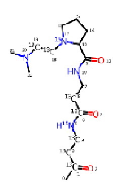 C[13C](=O)[13CH2][13CH2][15NH][13C](=O)[13CH2]CNC(=O)C1CCC[15N]1[13CH2][13CH2]N(C)C